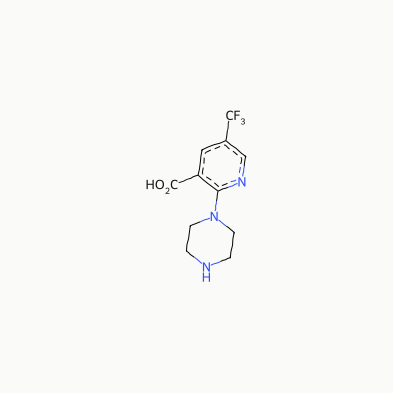 O=C(O)c1cc(C(F)(F)F)cnc1N1CCNCC1